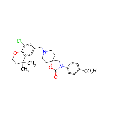 CC1(C)CCOc2c(Cl)cc(CN3CCC4(CC3)CN(c3ccc(C(=O)O)cc3)C(=O)O4)cc21